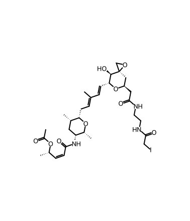 CC(=O)O[C@@H](C)/C=C\C(=O)N[C@@H]1C[C@H](C)[C@H](C/C=C(C)/C=C/[C@H]2O[C@H](CC(=O)NCCNC(=O)CI)C[C@@]3(CO3)[C@@H]2O)O[C@@H]1C